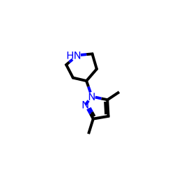 Cc1cc(C)n(C2CCNCC2)n1